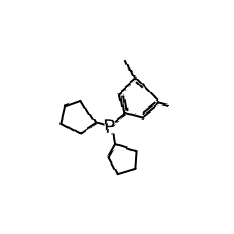 Cc1cc(C)cc(P(C2CCCC2)C2CCCC2)c1